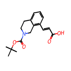 CC(C)(C)OC(=O)N1CCc2cccc(C=CC(=O)O)c2C1